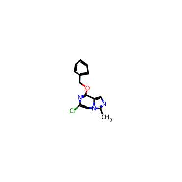 Cc1ncc2c(OCc3ccccc3)nc(Cl)cn12